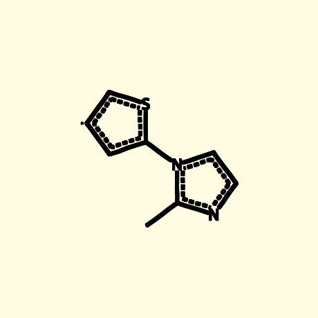 Cc1nccn1-c1c[c]cs1